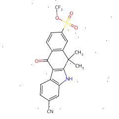 CC1(C)c2cc(S(=O)(=O)OC(F)(F)F)ccc2C(=O)c2c1[nH]c1cc(C#N)ccc21